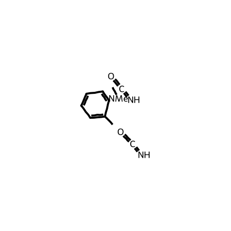 CNC.Cc1ccccc1.N=C=O.N=C=O